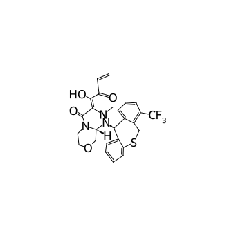 C=CC(=O)/C(O)=C1/C(=O)N2CCOC[C@H]2N([C@@H]2c3ccccc3SCc3c2cccc3C(F)(F)F)N1C